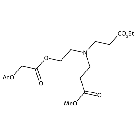 CCOC(=O)CCN(CCOC(=O)COC(C)=O)CCC(=O)OC